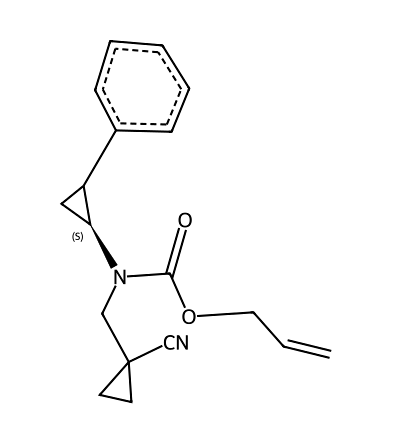 C=CCOC(=O)N(CC1(C#N)CC1)[C@H]1CC1c1ccccc1